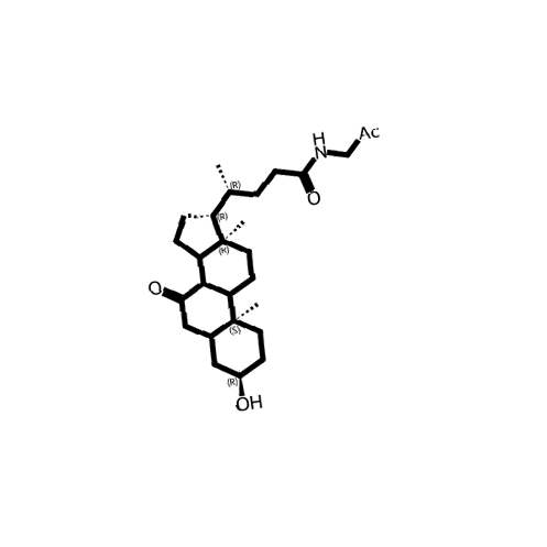 CC(=O)CNC(=O)CC[C@@H](C)[C@H]1CCC2C3C(=O)CC4C[C@H](O)CC[C@]4(C)C3CC[C@@]21C